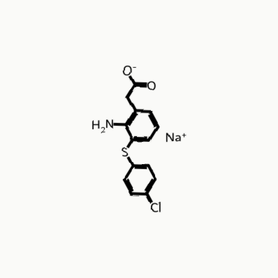 Nc1c(CC(=O)[O-])cccc1Sc1ccc(Cl)cc1.[Na+]